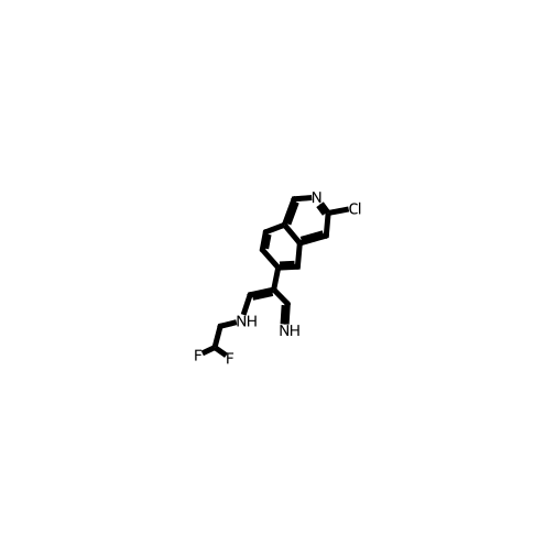 N=C/C(=C\NCC(F)F)c1ccc2cnc(Cl)cc2c1